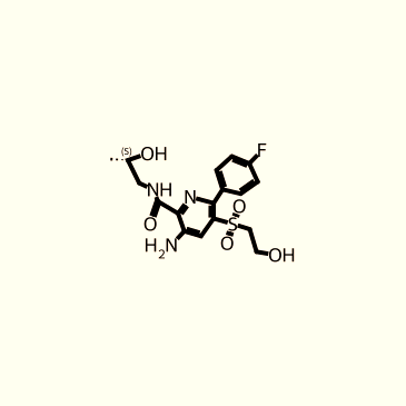 C[C@H](O)CNC(=O)c1nc(-c2ccc(F)cc2)c(S(=O)(=O)CCO)cc1N